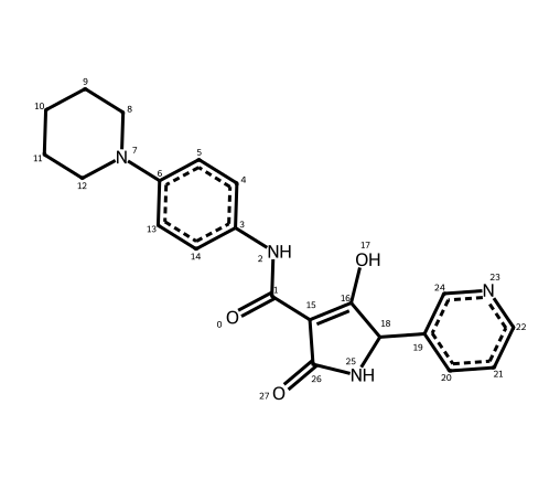 O=C(Nc1ccc(N2CCCCC2)cc1)C1=C(O)C(c2cccnc2)NC1=O